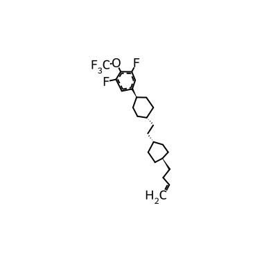 C=CCC[C@H]1CC[C@H](CC[C@H]2CC[C@H](c3cc(F)c(OC(F)(F)F)c(F)c3)CC2)CC1